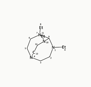 CCN1CCN2CCN(CC)C1N(CC)CC2